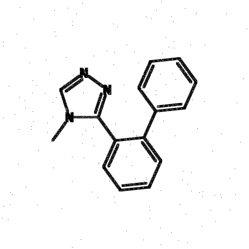 Cn1cnnc1-c1ccccc1-c1ccccc1